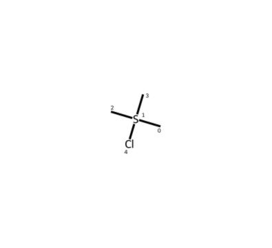 CS(C)(C)Cl